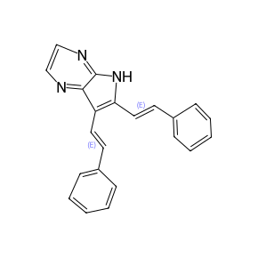 C(=C\c1[nH]c2nccnc2c1/C=C/c1ccccc1)/c1ccccc1